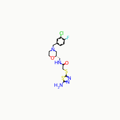 Nc1nnc(SCC(=O)NC[C@H]2CN(Cc3ccc(F)c(Cl)c3)CCO2)s1